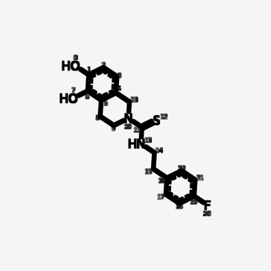 Oc1ccc2c(c1O)CCN(C(=S)NCCc1ccc(F)cc1)C2